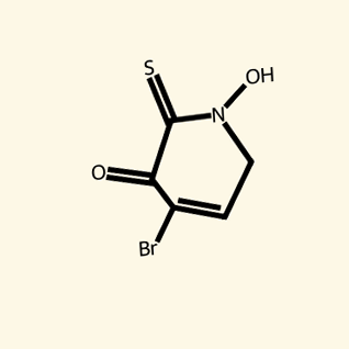 O=C1C(=S)N(O)CC=C1Br